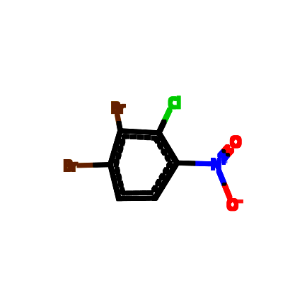 O=[N+]([O-])c1ccc(Br)c(Br)c1Cl